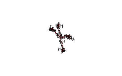 NC(=O)CCC(NC(=O)[C@H](Cc1cnc[nH]1)NC(=O)CCOC1CC(OCCC(=O)NC(COCCC(=O)NCCOCCOCCOCCOC[C@@]23CO[C@@H](O2)[C@H](NC(=O)C(F)(F)F)[C@@H](O)[C@H]3O)(COCCC(=O)NCCOCCOCCOCCOC[C@@]23CO[C@@H](O2)[C@H](NC(=O)C(F)(F)F)[C@@H](O)[C@H]3O)COCCC(=O)NCCOCCOCCOCCOC[C@@]23CO[C@@H](O2)[C@H](NC(=O)C(F)(F)F)[C@@H](O)[C@H]3O)C1)C(N)=O